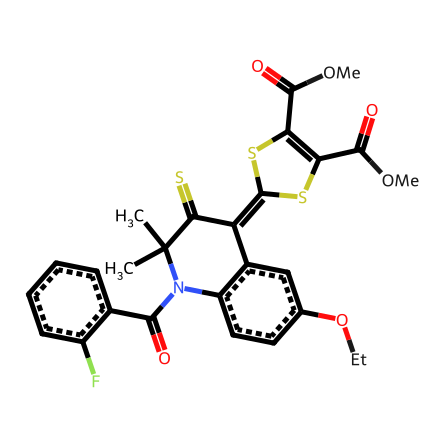 CCOc1ccc2c(c1)C(=C1SC(C(=O)OC)=C(C(=O)OC)S1)C(=S)C(C)(C)N2C(=O)c1ccccc1F